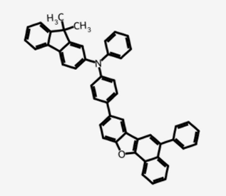 CC1(C)c2ccccc2-c2ccc(N(c3ccccc3)c3ccc(-c4ccc5oc6c7ccccc7c(-c7ccccc7)cc6c5c4)cc3)cc21